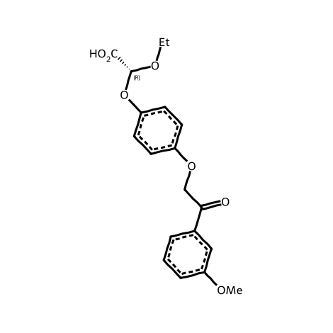 CCO[C@H](Oc1ccc(OCC(=O)c2cccc(OC)c2)cc1)C(=O)O